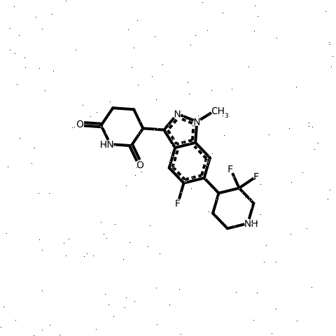 Cn1nc(C2CCC(=O)NC2=O)c2cc(F)c(C3CCNCC3(F)F)cc21